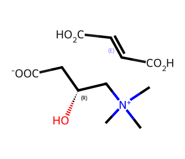 C[N+](C)(C)C[C@H](O)CC(=O)[O-].O=C(O)/C=C/C(=O)O